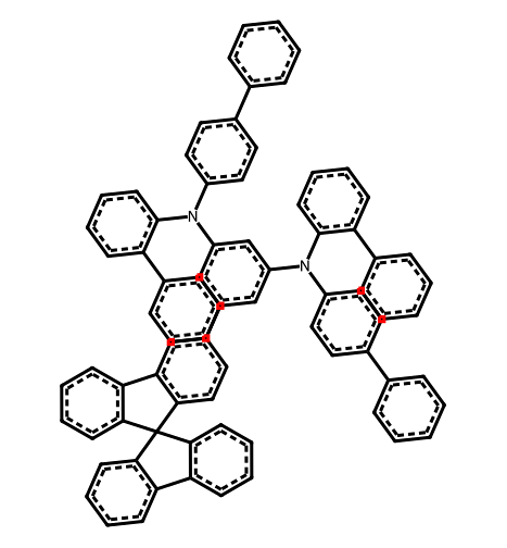 c1ccc(-c2ccc(N(c3cc(-c4ccc5c(c4)-c4ccccc4C54c5ccccc5-c5ccccc54)cc(N(c4ccc(-c5ccccc5)cc4)c4ccccc4-c4ccccc4)c3)c3ccccc3-c3ccccc3)cc2)cc1